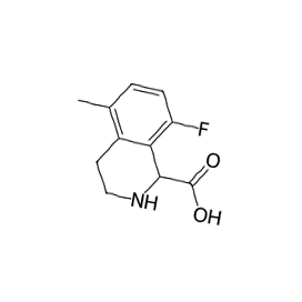 Cc1ccc(F)c2c1CCNC2C(=O)O